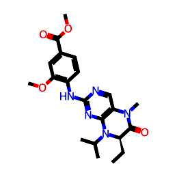 CC[C@@H]1C(=O)N(C)c2cnc(Nc3ccc(C(=O)OC)cc3OC)nc2N1C(C)C